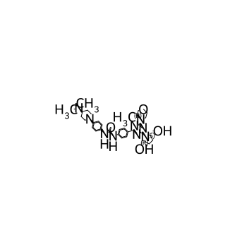 C[C@@H]1COCCN1c1nc(-c2ccc(NC(=O)Nc3ccc(N4CCC(N(C)C)CC4)cc3)cc2)nc(N2[C@H](CO)CC[C@@H]2CO)n1